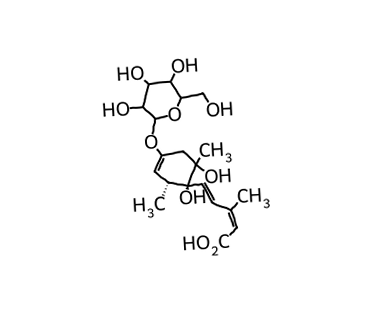 CC(=C/C(=O)O)/C=C/[C@]1(O)[C@H](C)C=C(OC2OC(CO)C(O)C(O)C2O)CC1(C)O